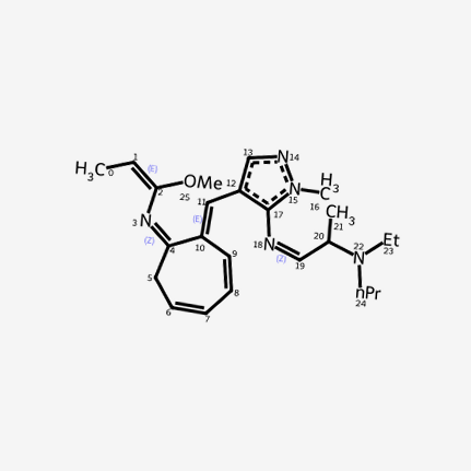 C\C=C(/N=C1/CC=CC=C/C1=C\c1cnn(C)c1/N=C\C(C)N(CC)CCC)OC